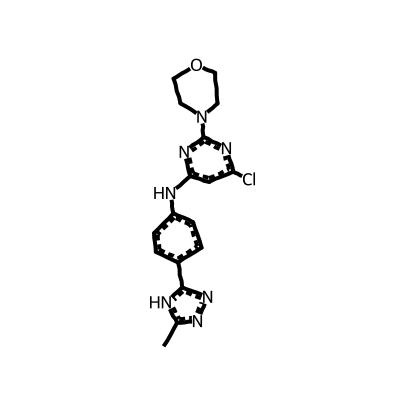 Cc1nnc(-c2ccc(Nc3cc(Cl)nc(N4CCOCC4)n3)cc2)[nH]1